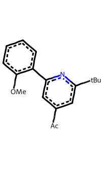 COc1ccccc1-c1cc(C(C)=O)cc(C(C)(C)C)n1